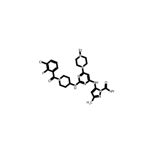 CCCC(=O)n1nc(C)cc1Nc1cc(N2CCN(CC)CC2)nc(NC2CCN(C(=O)c3cccc(Cl)c3F)CC2)n1